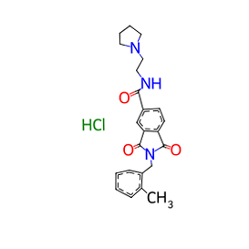 Cc1ccccc1CN1C(=O)c2ccc(C(=O)NCCN3CCCC3)cc2C1=O.Cl